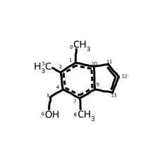 Cc1c(C)c(CO)c(C)c2c1C=C=C2